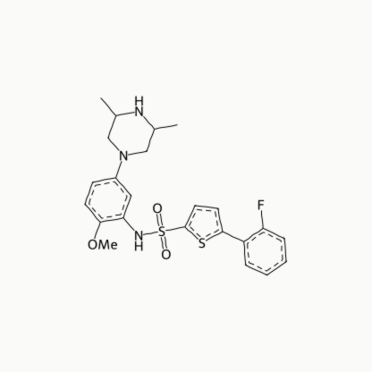 COc1ccc(N2CC(C)NC(C)C2)cc1NS(=O)(=O)c1ccc(-c2ccccc2F)s1